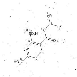 CCCCC(CCC)OC(=O)c1ccc(C(=O)O)cc1S(=O)(=O)O.[LiH]